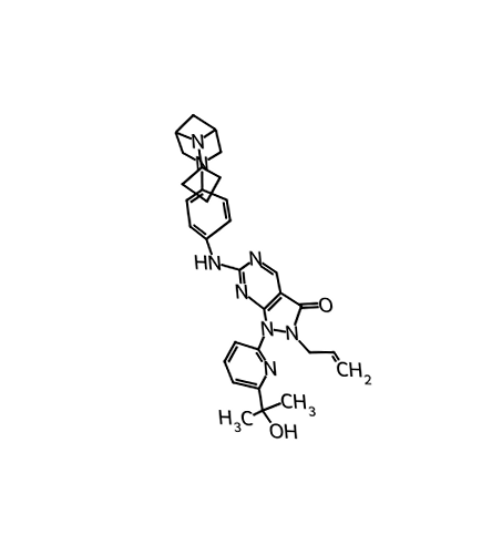 C=CCn1c(=O)c2cnc(Nc3ccc(N4CC5CC(C4)N5C4CCC4)cc3)nc2n1-c1cccc(C(C)(C)O)n1